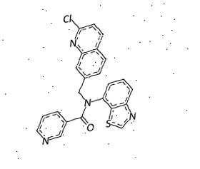 O=C(c1cccnc1)N(Cc1ccc2ccc(Cl)nc2c1)c1cccc2ncsc12